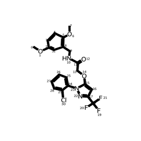 COc1ccc(OC)c(CNC(=O)COc2cc(C(F)(F)F)nn2-c2ccccc2Cl)c1